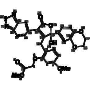 COC(=O)COc1cc(OC)ccc1CC1=C(c2ccc3nsnc3c2)C(=O)OC1(O)c1ccc2c(c1)OCCO2